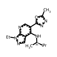 CCn1ncc2c(N[C@H](C)C(C)C)c(-c3nnc(C)o3)cnc21